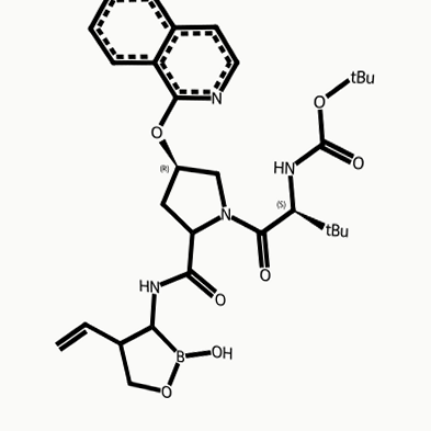 C=CC1COB(O)C1NC(=O)C1C[C@@H](Oc2nccc3ccccc23)CN1C(=O)[C@@H](NC(=O)OC(C)(C)C)C(C)(C)C